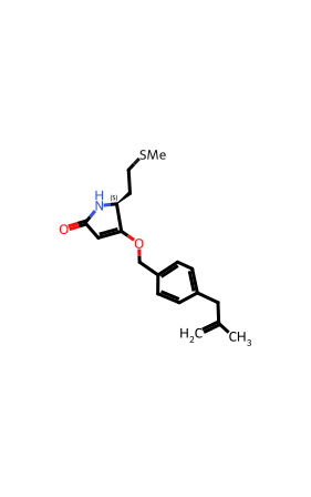 C=C(C)Cc1ccc(COC2=CC(=O)N[C@H]2CCSC)cc1